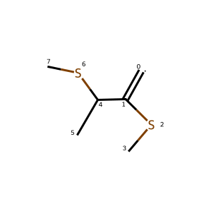 [CH]=C(SC)C(C)SC